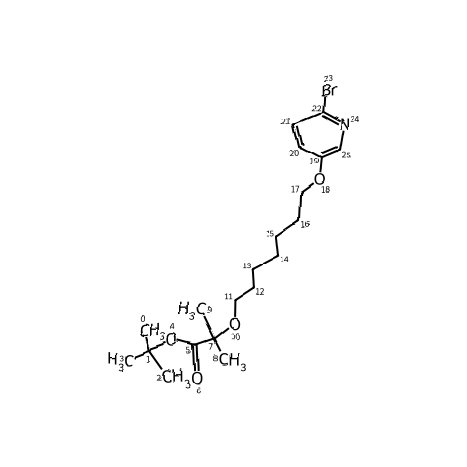 CC(C)(C)OC(=O)C(C)(C)OCCCCCCCOc1ccc(Br)nc1